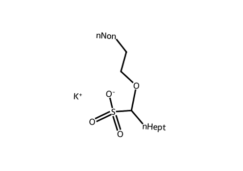 CCCCCCCCCCCOC(CCCCCCC)S(=O)(=O)[O-].[K+]